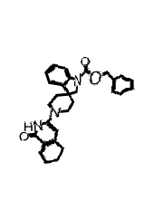 O=C(OCc1ccccc1)N1CC2(CCN(c3cc4c(c(=O)[nH]3)CCCC4)CC2)c2ccccc21